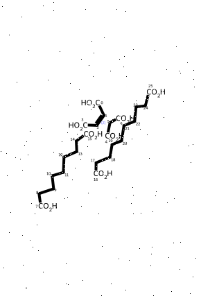 O=C(O)/C=C\C(=O)O.O=C(O)CC(=O)O.O=C(O)CCCCCCCC(=O)O.O=C(O)CCCCCCCCC(=O)O